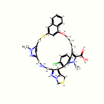 Cn1nc2cc1CSc1cc(c3ccccc3c1)OCCCc1c(C(=O)O)n(C)c3c(c(Cl)ccc13)-c1c(nn3c1CSC3)CNC2